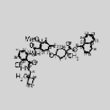 COc1cc(F)c(OC2CCC(C)(C(=O)OCc3cccc4ccccc34)CC2)cc1C(=O)Nc1cccc(Cl)c1C(=O)NCC1(C)CCC1